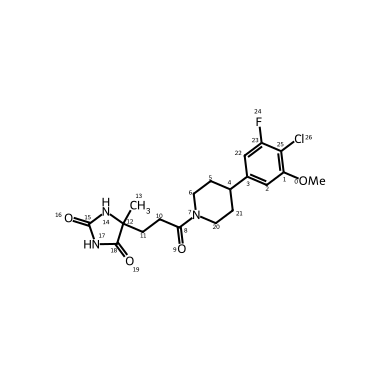 COc1cc(C2CCN(C(=O)CCC3(C)NC(=O)NC3=O)CC2)cc(F)c1Cl